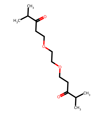 CC(C)C(=O)CCOCCOCCC(=O)C(C)C